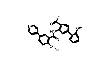 COc1ccccc1-c1ccc(C(=O)[O-])c(NC(=O)c2cc(-c3ccncc3)ccc2O)c1.[Na+]